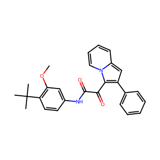 COc1cc(NC(=O)C(=O)c2c(-c3ccccc3)cc3ccccn23)ccc1C(C)(C)C